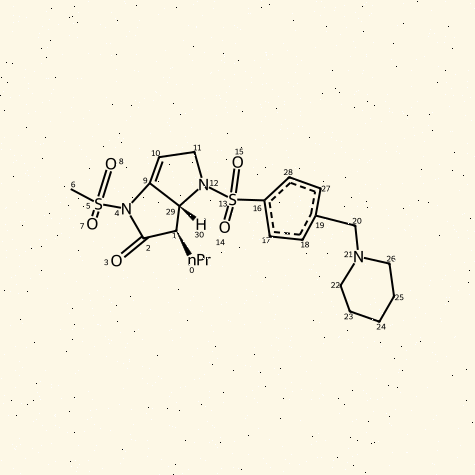 CCC[C@H]1C(=O)N(S(C)(=O)=O)C2=CCN(S(=O)(=O)c3ccc(CN4CCCCC4)cc3)[C@@H]21